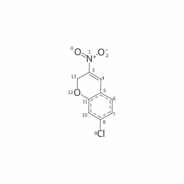 O=[N+]([O-])C1=Cc2ccc(Cl)cc2OC1